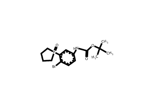 CC(C)(C)OC(=O)Nc1ccc(Br)c(P2(=O)CCCC2)c1